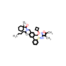 C=C(CCCC)N(Cc1ccc(-c2ccccc2SNc2noc(C)c2C)c(COC2CCC2)c1)C(=O)C1(C)CCCCC1